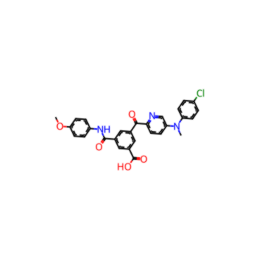 COc1ccc(NC(=O)c2cc(C(=O)O)cc(C(=O)c3ccc(N(C)c4ccc(Cl)cc4)cn3)c2)cc1